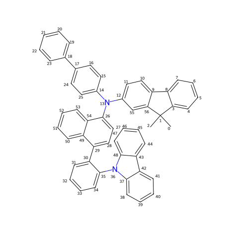 CC1(C)c2ccccc2-c2ccc(N(c3ccc(-c4ccccc4)cc3)c3ccc(-c4ccccc4-n4c5ccccc5c5ccccc54)c4ccccc34)cc21